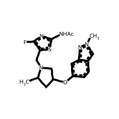 CC(=O)Nc1nc(F)c(CN2CC(Oc3ccc4cn(C)nc4c3)CC2C)s1